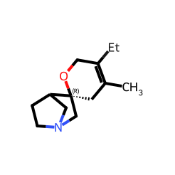 CCC1=C(C)C[C@@]2(CN3CCC2C3)OC1